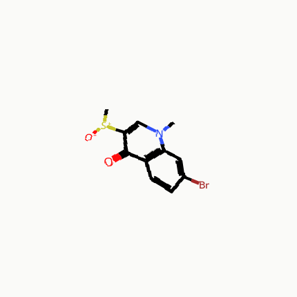 Cn1cc([S+](C)[O-])c(=O)c2ccc(Br)cc21